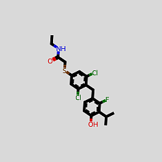 CCNC(=O)CSc1cc(Cl)c(Cc2ccc(O)c(C(C)C)c2F)c(Cl)c1